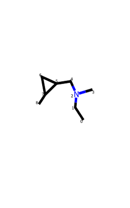 CCN(C)CC1CC1C